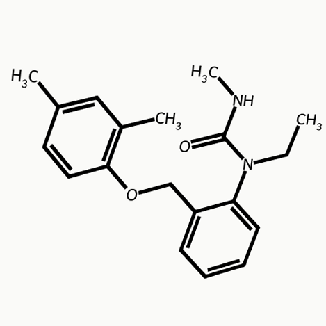 CCN(C(=O)NC)c1ccccc1COc1ccc(C)cc1C